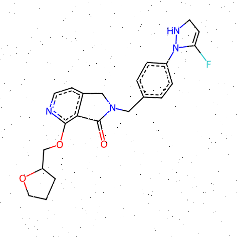 O=C1c2c(ccnc2OCC2CCCO2)CN1Cc1ccc(N2NCC=C2F)cc1